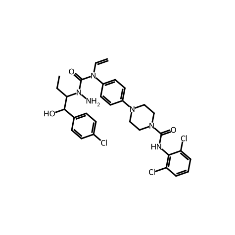 C=CN(C(=O)N(N)C(CC)C(O)c1ccc(Cl)cc1)c1ccc(N2CCN(C(=O)Nc3c(Cl)cccc3Cl)CC2)cc1